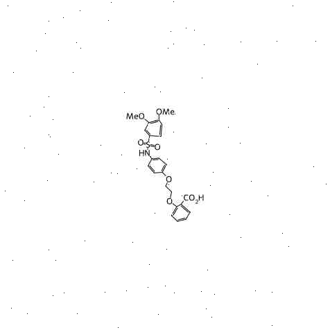 COc1ccc(S(=O)(=O)Nc2ccc(OCCOc3ccccc3C(=O)O)cc2)cc1OC